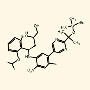 CC(C)(O[Si](C)(C)C(C)(C)C)c1ncc(-c2cc(N[C@H](CC(O)CO)c3c(Br)cccc3OC(F)F)c([N+](=O)[O-])cc2F)cn1